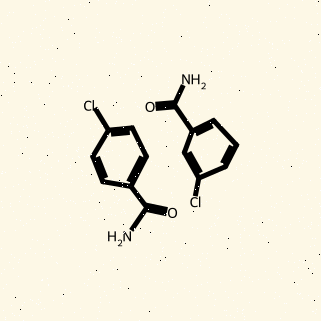 NC(=O)c1ccc(Cl)cc1.NC(=O)c1cccc(Cl)c1